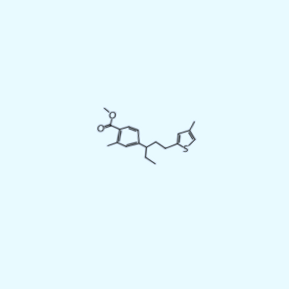 CCC(CCc1cc(C)cs1)c1ccc(C(=O)OC)c(C)c1